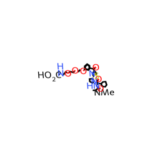 CNC(C)C(=O)NC(C(=O)N1CCC[C@@H]1c1nc(C(=O)c2cccc(OCCOCCOCCNC(=O)O)c2)cs1)C1CCCCC1